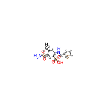 Cc1cc(NCc2cccs2)c(S(=O)(=O)O)cc1S(N)(=O)=O